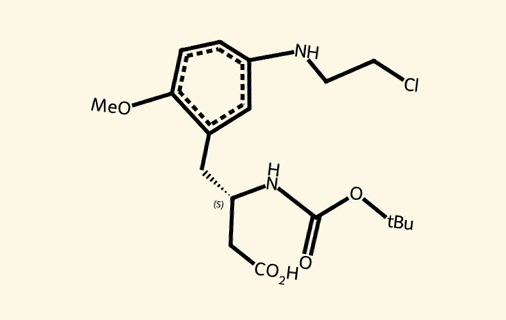 COc1ccc(NCCCl)cc1C[C@@H](CC(=O)O)NC(=O)OC(C)(C)C